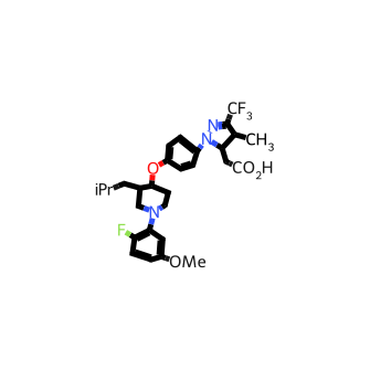 COc1ccc(F)c(N2CCC(Oc3ccc(N4N=C(C(F)(F)F)C(C)C4CC(=O)O)cc3)C(CC(C)C)C2)c1